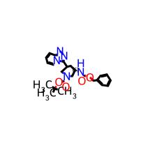 CC(C)(C)OC(=O)N1CC(c2nnc3ccccn23)C[C@H](NC(=O)OCc2ccccc2)C1